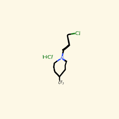 Cl.FC(F)(F)C1CCN(CCCCl)CC1